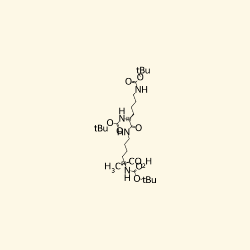 CC(C)(C)OC(=O)NCCCC[C@H](NC(=O)OC(C)(C)C)C(=O)NCCCC[C@@](C)(NC(=O)OC(C)(C)C)C(=O)O